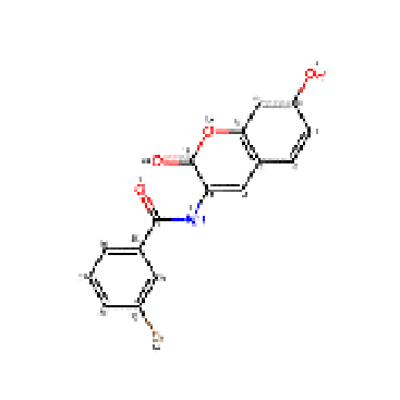 O=C(Nc1cc2ccc(O)cc2oc1=O)c1cccc(Br)c1